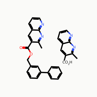 Cc1nc2ncccc2cc1C(=O)O.Cc1nc2ncccc2cc1C(=O)OCc1cccc(-c2ccccc2)c1